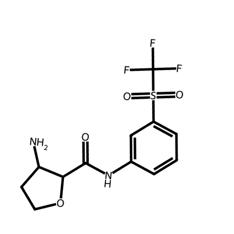 NC1CCOC1C(=O)Nc1cccc(S(=O)(=O)C(F)(F)F)c1